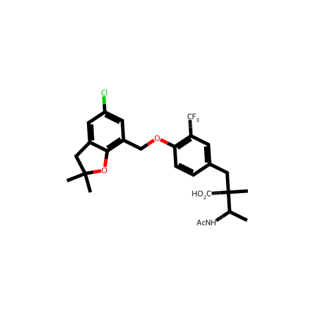 CC(=O)NC(C)C(C)(Cc1ccc(OCc2cc(Cl)cc3c2OC(C)(C)C3)c(C(F)(F)F)c1)C(=O)O